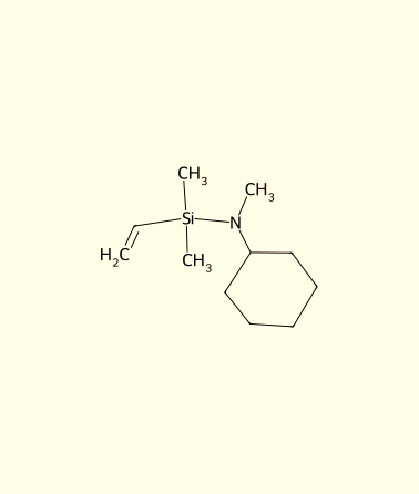 C=C[Si](C)(C)N(C)C1CCCCC1